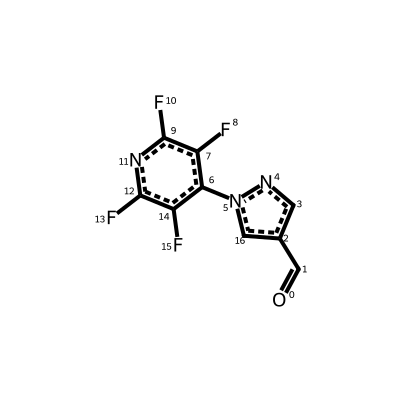 O=Cc1cnn(-c2c(F)c(F)nc(F)c2F)c1